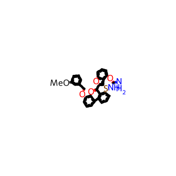 COc1cccc(COc2cccc(-c3cccc(SNC(N)=O)c3C(=O)c3cc4ccccc4o3)c2)c1